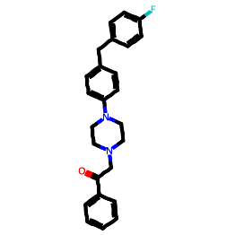 O=C(CN1CCN(c2ccc(Cc3ccc(F)cc3)cc2)CC1)c1ccccc1